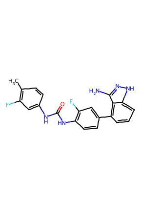 Cc1ccc(NC(=O)Nc2ccc(-c3cccc4[nH]nc(N)c34)cc2F)cc1F